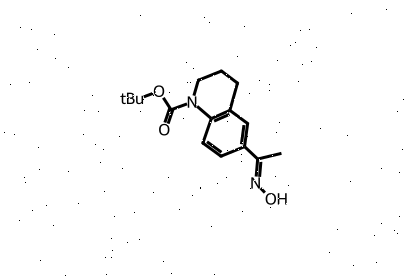 C/C(=N\O)c1ccc2c(c1)CCCN2C(=O)OC(C)(C)C